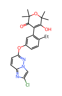 CCc1ccc(Oc2ccc3nc(Cl)cn3n2)cc1C1=C(O)C(C)(C)OC(C)(C)C1=O